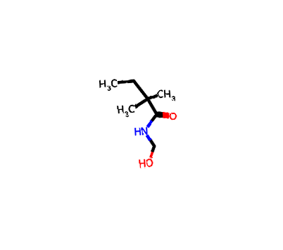 CCC(C)(C)C(=O)NCO